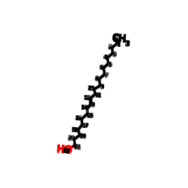 CCCCCCCCCCCCC=CCCCCCCCCO